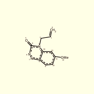 C=CCn1c(=O)nnc2ccc(OC)cc21